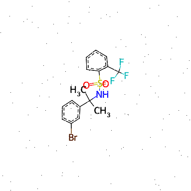 CC(C)(NS(=O)(=O)c1ccccc1C(F)(F)F)c1cccc(Br)c1